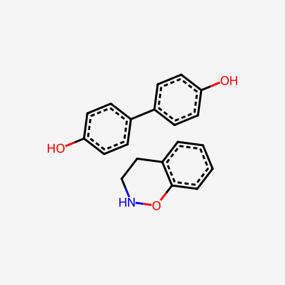 Oc1ccc(-c2ccc(O)cc2)cc1.c1ccc2c(c1)CCNO2